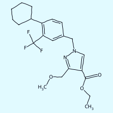 CCOC(=O)c1cn(Cc2ccc(C3CCCCC3)c(C(F)(F)F)c2)nc1COC